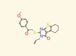 C=CCn1c(SCC(=O)c2ccc(OC)cc2)nc2sc3c(c2c1=O)CCCC3